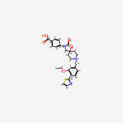 CCOc1cc(CN2CCC3(CC2)CN(c2ccc(C(=O)O)cc2)C(=O)O3)ccc1-c1nccs1